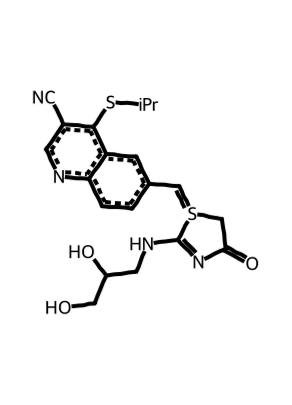 CC(C)Sc1c(C#N)cnc2ccc(/C=S3/CC(=O)N=C3NCC(O)CO)cc12